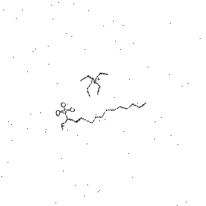 CCCCCCCCCCCCC(F)S(=O)(=O)[O-].CC[N+](CC)(CC)CC